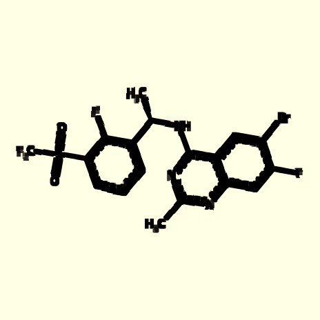 Cc1nc(N[C@H](C)c2cccc(S(=O)(=O)C(F)(F)F)c2F)c2cc(Br)c(F)cc2n1